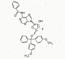 COc1ccc(C(OC[C@H]2O[C@@H](n3cnc4c(NC(=O)c5ccccc5)ncnc43)[C@H](O)[C@@H]2F)(c2ccccc2)c2ccc(OC)cc2)cc1